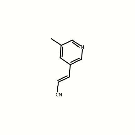 Cc1cncc(C=CC#N)c1